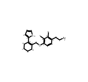 CC(=O)CCc1ccc(OCC2=C(c3cccs3)CCCC2)c(C)c1C